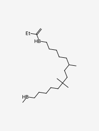 C=C(BCCCCCC(C)CCC(C)(C)CCCCCBC)CC